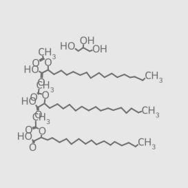 CCCCCCCCCCCCCCCCC(OC(C)=O)C(=O)O.CCCCCCCCCCCCCCCCC(OC(C)=O)C(=O)O.CCCCCCCCCCCCCCCCC(OC(C)=O)C(=O)O.OCC(O)CO